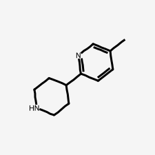 Cc1ccc(C2CCNCC2)nc1